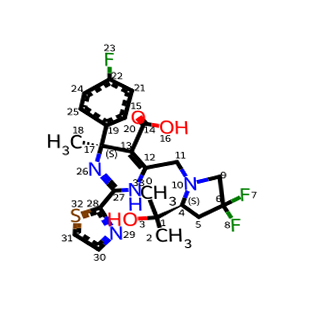 CC(C)(O)[C@@H]1CC(F)(F)CN1CC1=C(C(=O)O)[C@](C)(c2ccc(F)cc2)N=C(c2nccs2)N1